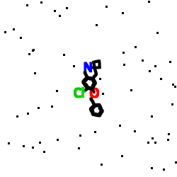 Clc1cc2c(cc1OCc1ccccc1)CC1(CCC1)N=C2